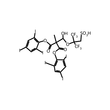 CC(C(=O)Oc1c(I)cc(I)cc1I)(C(=O)Oc1c(I)cc(I)cc1I)C(O)OC(CS(=O)(=O)O)(C(F)(F)F)C(F)(F)F